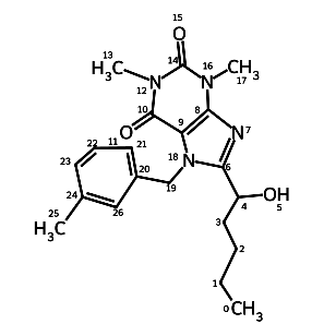 CCCCC(O)c1nc2c(c(=O)n(C)c(=O)n2C)n1Cc1cccc(C)c1